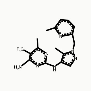 Cc1cccc(Cn2ncc(Nc3nc(C)c(C(F)(F)F)c(N)n3)c2C)n1